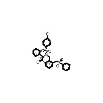 NC(=O)[C@@H](c1ccccc1)N(Cc1ccccc1CS(=O)(=O)c1ccccc1)S(=O)(=O)c1ccc(Cl)cc1